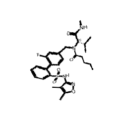 CCCCC(=O)N(Cc1ccc(-c2ccccc2S(=O)(=O)Nc2noc(C)c2C)c(F)c1)[C@H](C(=O)NC)C(C)C